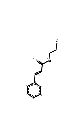 O=C(/C=C/c1ccccc1)NCCCl